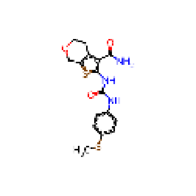 CSc1ccc(NC(=O)Nc2sc3c(c2C(N)=O)CCOC3)cc1